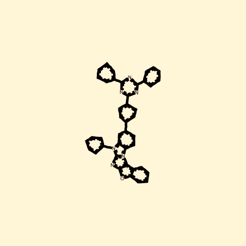 c1ccc(-c2nc(-c3ccccc3)nc(-c3ccc(-c4ccc5c(c4)n(-c4ccccc4)c4nc6oc7ccccc7c6n54)cc3)n2)cc1